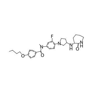 CCCCOc1ccc(C(=O)N(C)c2ccc(N3CCC(NC4CCCCNC4=O)C3)c(F)c2)cc1